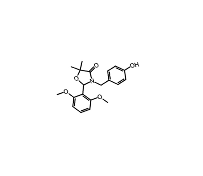 COc1cccc(OC)c1C1OC(C)(C)C(=O)N1Cc1ccc(O)cc1